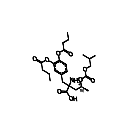 CCCC(=O)Oc1ccc(CC(N)(C[C@H](C)OC(=O)OCC(C)C)C(=O)O)cc1OC(=O)CCC